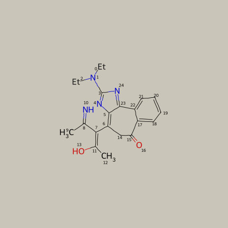 CCN(CC)C1=NC2=C(/C(C(C)=N)=C(\C)O)CC(=O)c3ccccc3C2=N1